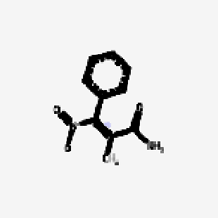 C/C(C(N)=O)=C(/c1ccccc1)[N+](=O)[O-]